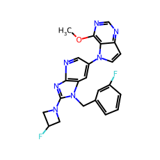 COc1ncnc2ccn(-c3cnc4nc(N5CC(F)C5)n(Cc5cccc(F)c5)c4c3)c12